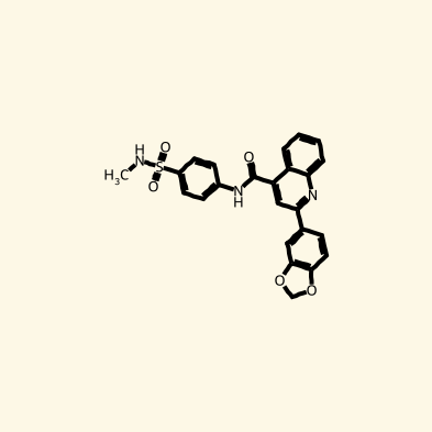 CNS(=O)(=O)c1ccc(NC(=O)c2cc(-c3ccc4c(c3)OCO4)nc3ccccc23)cc1